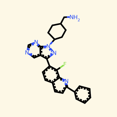 NCC1CCC(n2nc(-c3ccc4ccc(-c5ccccc5)nc4c3F)c3cncnc32)CC1